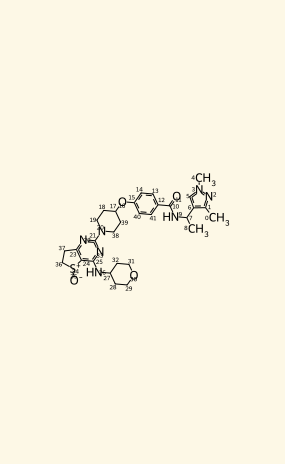 Cc1nn(C)cc1C(C)NC(=O)c1ccc(OC2CCN(c3nc4c(c(NC5CCOCC5)n3)[S+]([O-])CC4)CC2)cc1